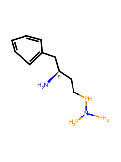 N[C@H](CCPN(P)P)Cc1ccccc1